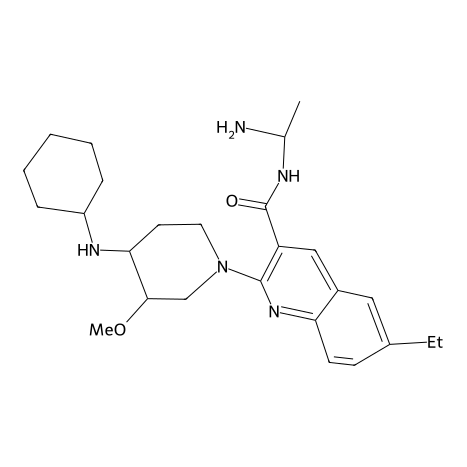 CCc1ccc2nc(N3CCC(NC4CCCCC4)C(OC)C3)c(C(=O)NC(C)N)cc2c1